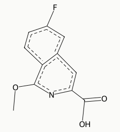 COc1nc(C(=O)O)cc2cc(F)ccc12